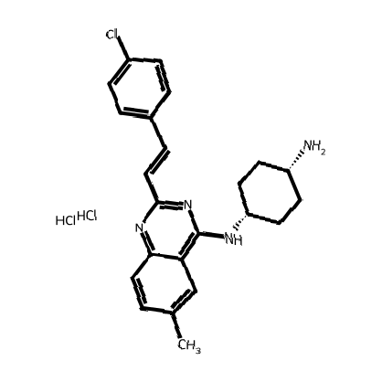 Cc1ccc2nc(C=Cc3ccc(Cl)cc3)nc(N[C@H]3CC[C@@H](N)CC3)c2c1.Cl.Cl